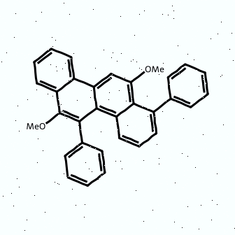 COc1c(-c2ccccc2)c2c3cccc(-c4ccccc4)c3c(OC)cc2c2ccccc12